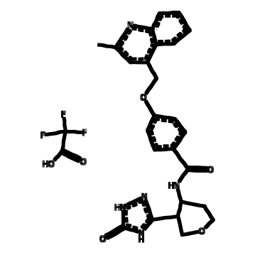 Cc1cc(COc2ccc(C(=O)NC3CCOCC3c3n[nH]c(=O)[nH]3)cc2)c2ccccc2n1.O=C(O)C(F)(F)F